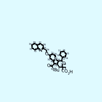 CC(C)(C)C(=O)c1c(CC(C)(C)C(=O)O)c(C(=O)c2ccccc2)n2ccc(OCc3ccc4ccccc4n3)cc12